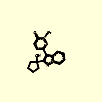 CC(C)n1nc(-c2c(C3(O)CCCC3)nn3ccccc23)ccc1=O